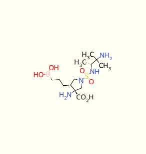 C[C@@H](NS(=O)(=O)N1C[C@H](CCCB(O)O)[C@](N)(C(=O)O)C1)C(C)(C)N